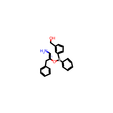 N/C=C(\Cc1ccccc1)OB(c1ccccc1)c1cccc(CO)c1